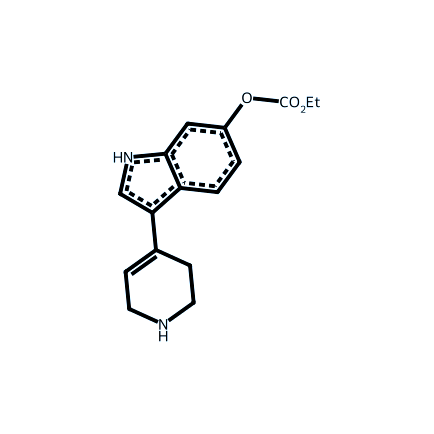 CCOC(=O)Oc1ccc2c(C3=CCNCC3)c[nH]c2c1